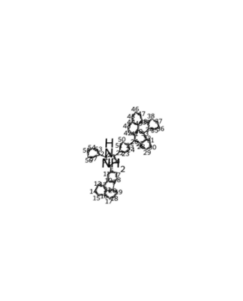 NC(N/C(=C\Cc1ccc2c(c1)-c1cccc3cccc-2c13)c1ccc(-c2c3ccccc3c(-c3ccccc3)c3c2ccc2ccccc23)cc1)c1ccccc1